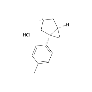 Cc1ccc([C@]23CNC[C@H]2C3)cc1.Cl